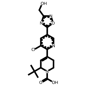 CC(C)(C)C1C=C(c2ncc(-c3nc(CO)no3)cc2Cl)CCN1C(=O)O